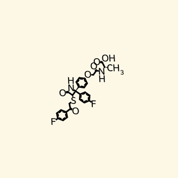 C[C@H](NC(=O)COc1ccc([C@]2(c3ccc(F)cc3)NC(=O)[C@@H]2SCC(=O)c2ccc(F)cc2)cc1)C(=O)O